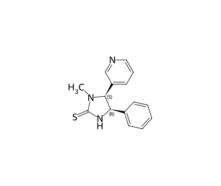 CN1C(=S)N[C@H](c2ccccc2)[C@@H]1c1cccnc1